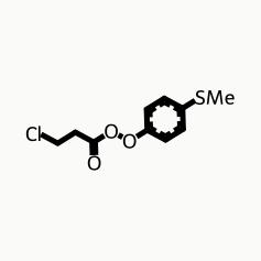 CSc1ccc(OOC(=O)CCCl)cc1